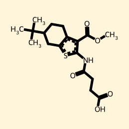 COC(=O)c1c(NC(=O)CCC(=O)O)sc2c1CCC(C(C)(C)C)C2